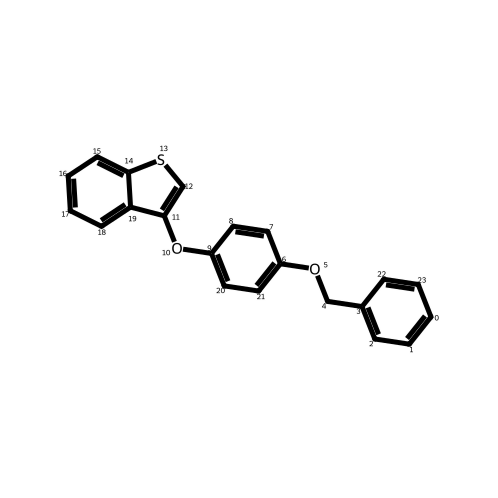 c1ccc(COc2ccc(Oc3csc4ccccc34)cc2)cc1